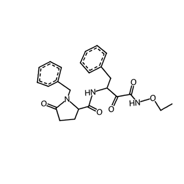 CCONC(=O)C(=O)C(Cc1ccccc1)NC(=O)C1CCC(=O)N1Cc1ccccc1